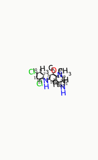 COc1cc(Nc2ccc(Cl)cc2Cl)cc2c1N(C)C[C@@H]1CNC[C@H]21